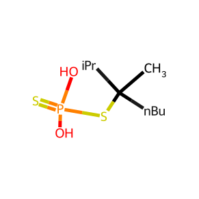 CCCCC(C)(SP(O)(O)=S)C(C)C